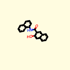 O=C(Nc1cccc2ccccc12)c1cc2ccccc2cc1O